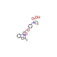 Cc1ccccc1-c1cc(COc2ccc(CN3CSC[C@H]3C(=O)O)cc2)on1